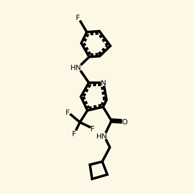 O=C(NCC1CCC1)c1cnc(Nc2cccc(F)c2)cc1C(F)(F)F